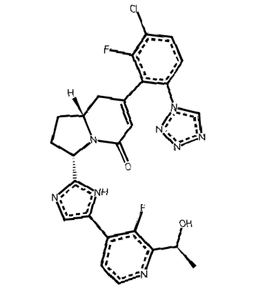 C[C@H](O)c1nccc(-c2cnc([C@@H]3CC[C@@H]4CC(c5c(-n6cnnn6)ccc(Cl)c5F)=CC(=O)N43)[nH]2)c1F